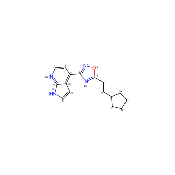 c1cc(-c2noc(CCC3CCCC3)n2)c2cc[nH]c2n1